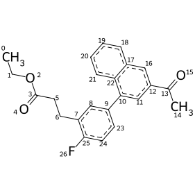 CCOC(=O)CCc1cc(-c2cc(C(C)=O)cc3ccccc23)ccc1F